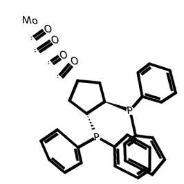 [C]=O.[C]=O.[C]=O.[C]=O.[Mo].c1ccc(P(c2ccccc2)[C@@H]2CCC[C@H]2P(c2ccccc2)c2ccccc2)cc1